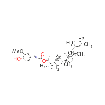 COc1cc(/C=C/C(=O)O[C@H]2CC[C@]34C[C@]35CC[C@]3(C)C([C@H](C)CC(C)C=C(C)C)CC[C@@]3(C)C5CCC4C2(C)C)ccc1O